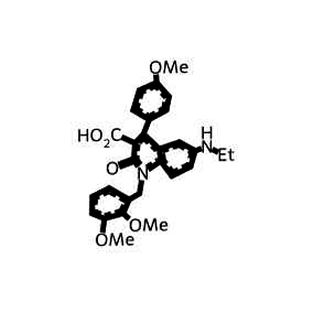 CCNc1ccc2c(c1)c(-c1ccc(OC)cc1)c(C(=O)O)c(=O)n2Cc1cccc(OC)c1OC